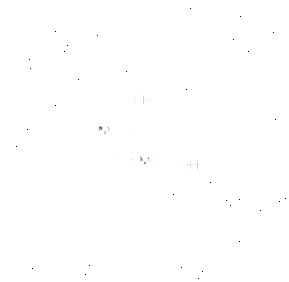 [KH].[O]=[Mn](=[O])(=[O])[OH].[O]=[Mn](=[O])(=[O])[OH]